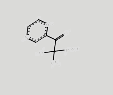 CCCCCC(C)(CCC)C(=O)c1cnccn1